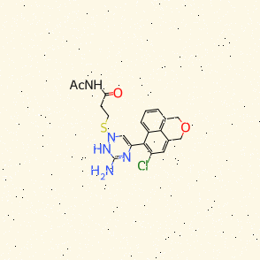 CC(=O)NC(=O)CCSN1C=C(c2c(Cl)cc3c4c(cccc24)COC3)N=C(N)N1